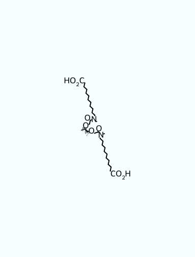 C[C@@H](OCC(=O)N(C)CCCCCCCCCCCC(=O)O)[C@@H](C)OCC(=O)N(C)CCCCCCCCCCCC(=O)O